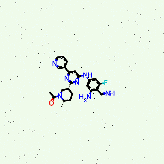 CC(=O)N1C[C@H](c2nc(Nc3cc(N)c(C=N)c(F)c3)cc(-c3cccnc3)n2)CC[C@@H]1C